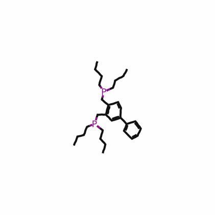 CCCCP(CCCC)Cc1ccc(-c2ccccc2)cc1CP(CCCC)CCCC